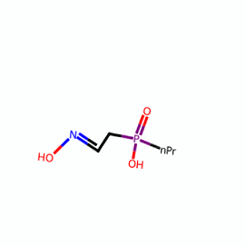 CCCP(=O)(O)CC=NO